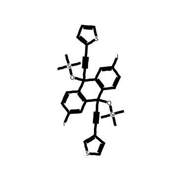 C[Si](C)(C)OC1(C#Cc2ccsc2)c2ccc(I)cc2C(C#Cc2cccs2)(O[Si](C)(C)C)c2ccc(I)cc21